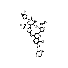 CC(C)Nc1nc(-c2cc(OC3C[C@@H](C(N)=O)N(C(=O)[C@@H](NC(=O)O[C@@H]4CC5=C[C@@H]5C4)C(C)(C)C)C3)c3ccc(OC[C@H]4COCCN4)c(Cl)c3n2)cs1